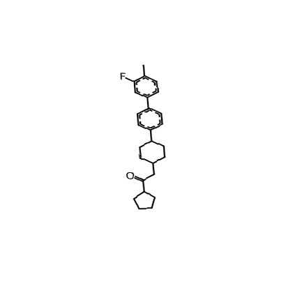 Cc1ccc(-c2ccc(C3CCC(CC(=O)C4CCCC4)CC3)cc2)cc1F